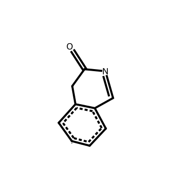 O=C1Cc2c[c]ccc2C=N1